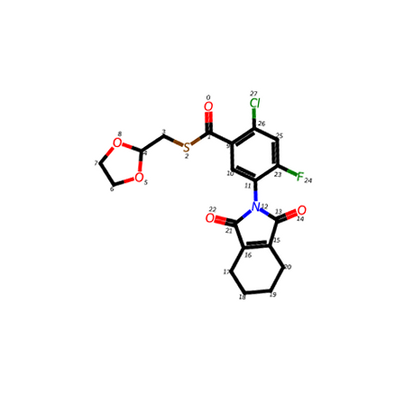 O=C(SCC1OCCO1)c1cc(N2C(=O)C3=C(CCCC3)C2=O)c(F)cc1Cl